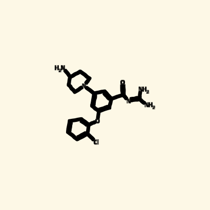 NC(N)=NC(=O)c1cc(Oc2ccccc2Cl)cc(N2CCC(N)CC2)c1